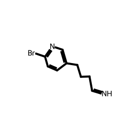 N=CCCCc1ccc(Br)nc1